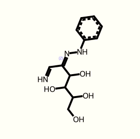 N=C/C(=N/Nc1ccccc1)C(O)C(O)C(O)CO